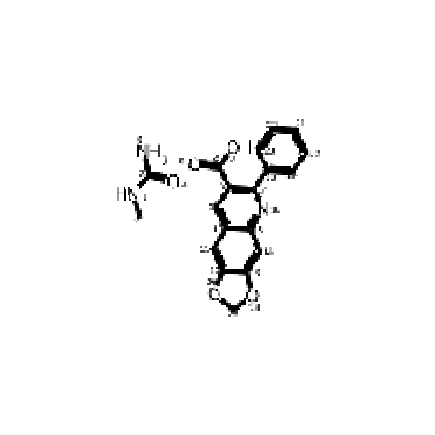 CNC(N)=O.O=C(O)c1cc2cc3c(cc2nc1-c1ccccc1)OCO3